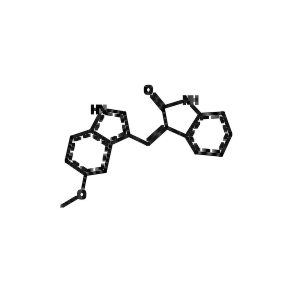 COc1ccc2[nH]cc(/C=C3\C(=O)Nc4ccccc43)c2c1